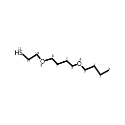 CCCCOCCCCOCCS